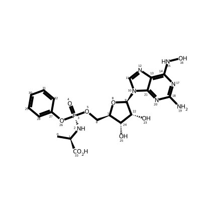 C[C@@H](N[P@](=O)(OC[C@H]1O[C@@H](n2cnc3c(NO)nc(N)nc32)[C@H](O)[C@@H]1O)Oc1ccccc1)C(=O)O